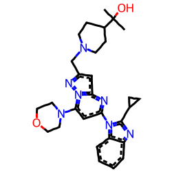 CC(C)(O)C1CCN(Cc2cc3nc(-n4c(C5CC5)nc5ccccc54)cc(N4CCOCC4)n3n2)CC1